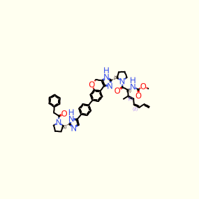 C=C/C=C\C=C(/C)[C@@H](NC(=O)OC)C(=O)N1CCC[C@H]1c1nc2c([nH]1)COc1cc(-c3ccc(-c4cnc([C@@H]5CCCN5C(=O)Cc5ccccc5)[nH]4)cc3)ccc1-2